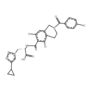 O=C(N[C@@H](Cn1cc(C2CC2)nn1)C(=O)O)c1c(Cl)cc2c(c1Cl)CCN(C(=O)c1ccc(Cl)cc1)C2